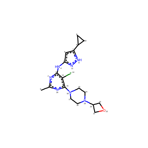 Cc1nc(Nc2cc(C3CC3)[nH]n2)c(F)c(N2CCN(C3COC3)CC2)n1